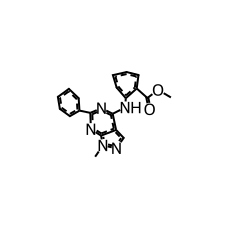 COC(=O)c1ccccc1Nc1nc(-c2ccccc2)nc2c1cnn2C